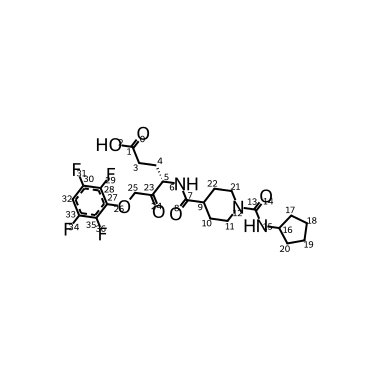 O=C(O)CC[C@H](NC(=O)C1CCN(C(=O)NC2CCCC2)CC1)C(=O)COc1c(F)c(F)cc(F)c1F